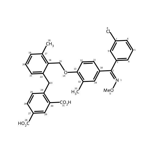 CON=C(c1cccc(Cl)c1)c1ccc(OCc2c(C)cccc2Cc2ccc(C(=O)O)cc2C(=O)O)c(C)c1